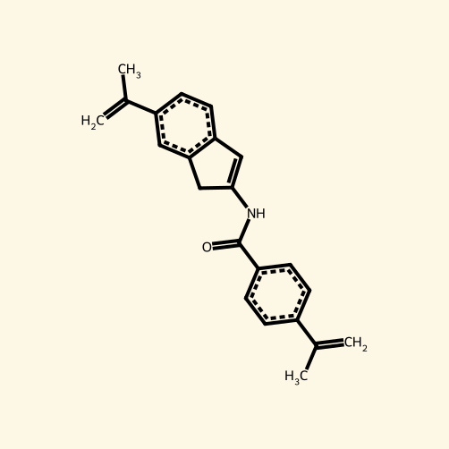 C=C(C)c1ccc(C(=O)NC2=Cc3ccc(C(=C)C)cc3C2)cc1